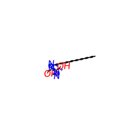 CC#CC#CC#CC#CC#CC#CC#CC#CC1=NCC[N+]1(CCO)CC[N+]1(CCO)CCN=C1C